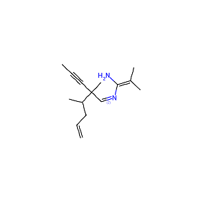 C=CCC(C)C(C)(C#CC)/C=N\C(N)=C(C)C